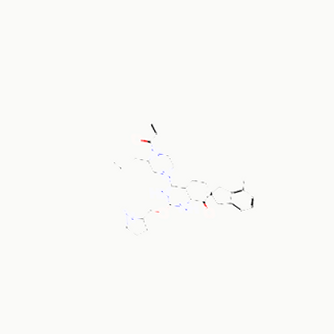 C=CC(=O)N1CCN(C2NC(OCC3CCCN3C)NC3C(=O)[C@@]4(CCC32)Cc2cccc(C)c2C4)CC1CC#N